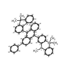 CN1c2ccccc2[Si](C)(C)c2ccc(-c3c4ccccc4c(-c4cccc5c4-c4ccccc4C5(C)C)c4cc(-c5ccccc5)ccc34)cc21